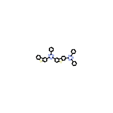 c1ccc(-c2nc(-c3ccccc3)nc(-c3ccc4c(c3)sc3ccc(-c5nc(-c6ccccc6)nc(-c6ccc7sc8ccccc8c7c6)n5)cc34)n2)cc1